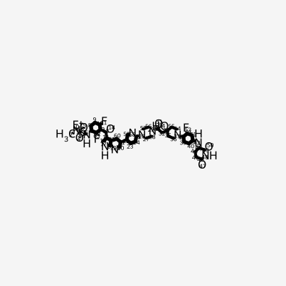 CCN(C)S(=O)(=O)Nc1ccc(F)c(C(=O)c2c[nH]c3ncc(-c4ccc(N5CCN(C(=O)CC6(O)CCN(c7ccc(N[C@@H]8CCC(=O)NC8=O)cc7F)CC6)CC5)nc4)cc23)c1F